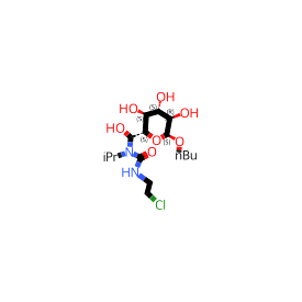 CCCCO[C@H]1O[C@H](C(O)N(C(=O)NCCCl)C(C)C)[C@@H](O)[C@H](O)[C@H]1O